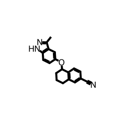 Cc1n[nH]c2ccc(OC3CCCc4cc(C#N)ccc43)cc12